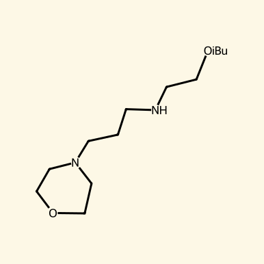 CC(C)COCCNCCCN1CCOCC1